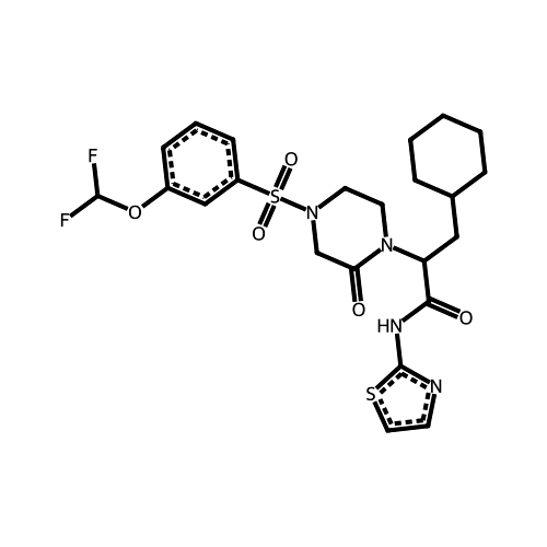 O=C(Nc1nccs1)C(CC1CCCCC1)N1CCN(S(=O)(=O)c2cccc(OC(F)F)c2)CC1=O